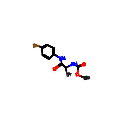 CC(C)C(NC(=O)OC(C)(C)C)C(=O)Nc1ccc(Br)cc1